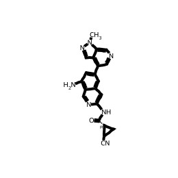 Cn1ncc2c(-c3cc(N)c4cnc(NC(=O)[C@@H]5CC5C#N)cc4c3)cncc21